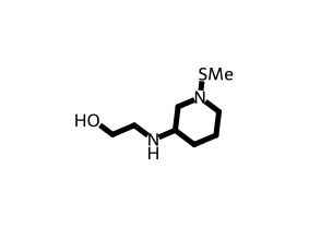 CSN1CCCC(NCCO)C1